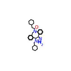 NC1c2ccccc2N(C(=O)CC2CCCCC2)Cc2ccccc2C1NCC1CCCCC1